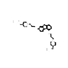 CCC1CCN(CCCOc2ccc3c(c2)Cc2cccc(OCCCN4CCC(CC)CC4)c2-3)CC1